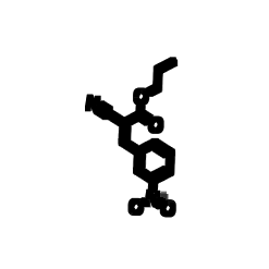 CCCOC(=O)C(C#N)=Cc1cccc([N+](=O)[O-])c1